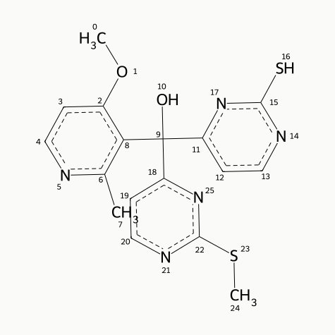 COc1ccnc(C)c1C(O)(c1ccnc(S)n1)c1ccnc(SC)n1